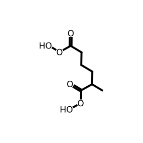 CC(CCCC(=O)OO)C(=O)OO